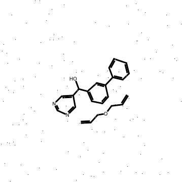 C=CCOCC=C.OC(c1cncnc1)c1cccc(-c2ccccc2)c1